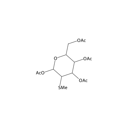 CSC1C(OC(C)=O)OC(COC(C)=O)C(OC(C)=O)C1OC(C)=O